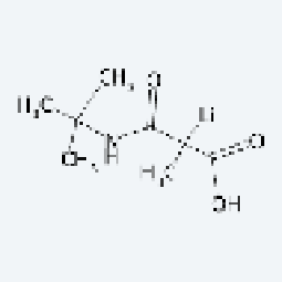 [Li][C](C)(C(=O)O)C(=O)NC(C)(C)C